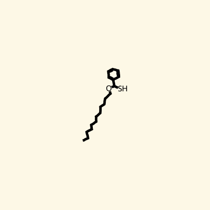 CCCCCCCCCCCCOC(S)c1ccccc1